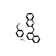 ClCc1ccccc1.N.c1ccc2nc(Cc3cccc4ccccc34)ccc2c1